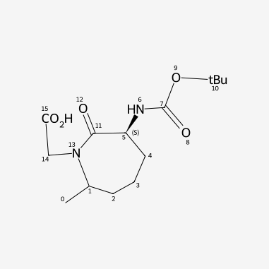 CC1CCC[C@H](NC(=O)OC(C)(C)C)C(=O)N1CC(=O)O